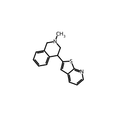 CN1Cc2ccccc2C(c2cc3cccnc3s2)C1